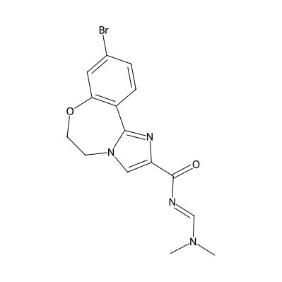 CN(C)C=NC(=O)c1cn2c(n1)-c1ccc(Br)cc1OCC2